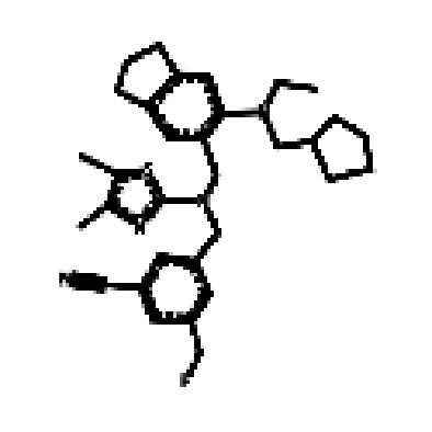 CCN(CC1CCCC1)c1cc2c(cc1CN(Cc1cc(C#N)cc(CF)c1)c1nc(C)c(C)s1)CCC2